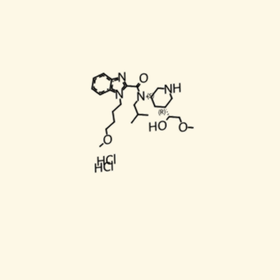 COCCCCn1c(C(=O)N(CC(C)C)[C@@H]2CNC[C@H](C(O)COC)C2)nc2ccccc21.Cl.Cl